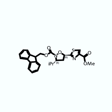 COC(=O)c1csc([C@H]2C[C@H](C(C)C)N(C(=O)OCC3c4ccccc4-c4ccccc43)O2)n1